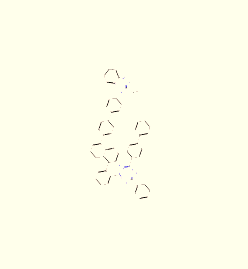 CCc1nc2ccccc2n1-c1ccc(-c2ccc(-c3cccc4c(-c5ccccc5-c5nc(-c6ccccc6)nc(-c6ccc(-c7ccccc7)cc6)n5)cccc34)cc2)cc1